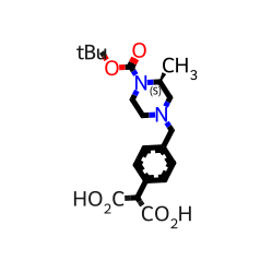 C[C@H]1CN(Cc2ccc(C(C(=O)O)C(=O)O)cc2)CCN1C(=O)OC(C)(C)C